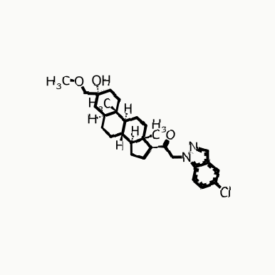 COC[C@@]1(O)CC[C@@]2(C)[C@@H](CC[C@@H]3[C@@H]2CC[C@]2(C)[C@@H](C(=O)Cn4ncc5cc(Cl)ccc54)CC[C@@H]32)C1